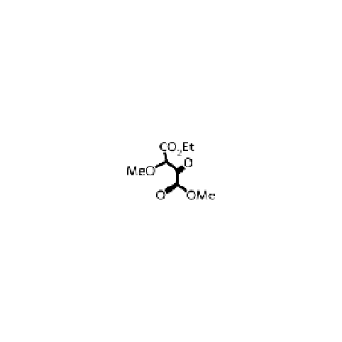 CCOC(=O)C(OC)C(=O)C(=O)OC